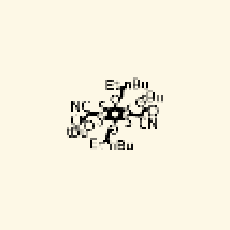 CCCCC(CC)COc1c2c(c(OCC(CC)CCCC)c3c1SC(=C(C#N)C(=O)OC(C)(C)C)S3)SC(=C(C#N)C(=O)OC(C)(C)C)S2